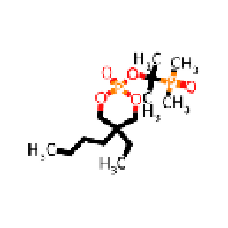 CCCCC1(CC)COP(=O)(OC(C)(C)P(C)(C)=O)OC1